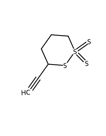 C#CC1CCCS(=S)(=S)S1